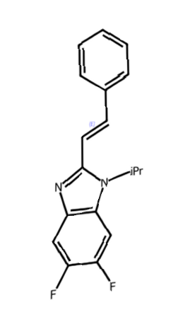 CC(C)n1c(/C=C/c2ccccc2)nc2cc(F)c(F)cc21